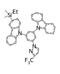 CC[Si](C)(C)c1ccc2c(c1)c1ccccc1n2-c1cc(-n2ccc(C(F)(F)F)n2)cc(-n2c3ccccc3c3ccccc32)c1